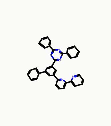 c1ccc(-c2cc(-c3cccc(-c4ccccn4)n3)cc(-c3nc(-c4ccccc4)nc(-c4ccccc4)n3)c2)cc1